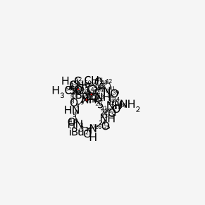 CC[C@H](C)[C@@H]1NC(=O)CNC(=O)C2Cc3c([nH]c4ccccc34)SCC(NC(=O)CNC1=O)C(=O)N[C@@H](CC(N)=O)C(=O)N1CCCC1C(=O)CC([C@@H](C)C(C)O[Si](C)(C)C(C)(C)C)C(=O)N2